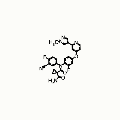 Cn1cc(-c2cc(Oc3ccc(N(C(=O)C4(C(N)=O)CC4)c4ccc(F)c(C#N)c4)c(F)c3)ccn2)cn1